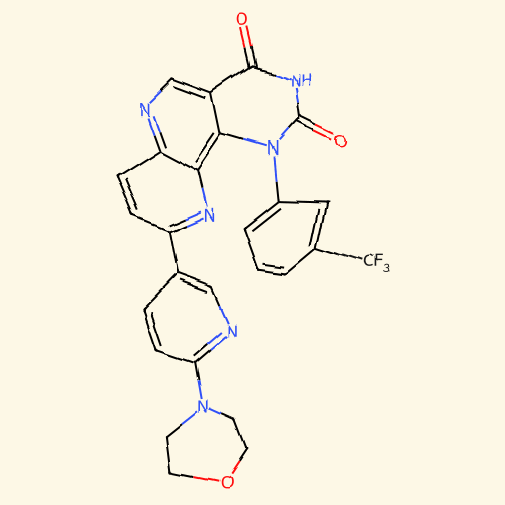 O=c1[nH]c(=O)n(-c2cccc(C(F)(F)F)c2)c2c1cnc1ccc(-c3ccc(N4CCOCC4)nc3)nc12